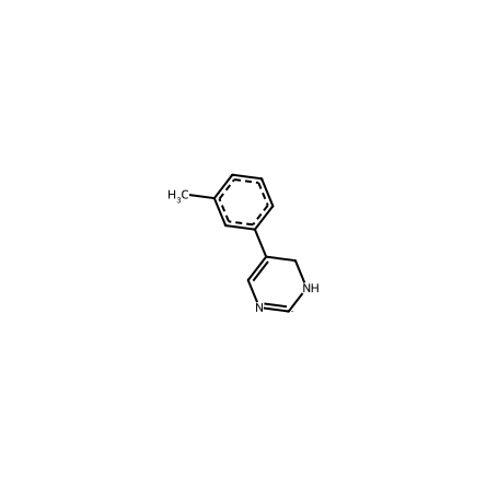 Cc1cccc(C2=CN=[C]NC2)c1